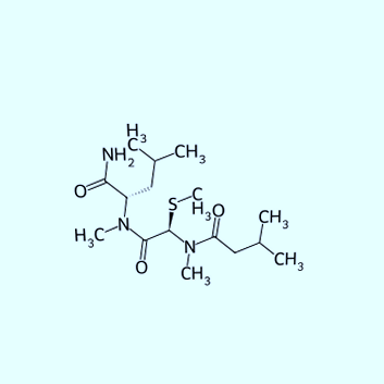 CS[C@H](C(=O)N(C)[C@@H](CC(C)C)C(N)=O)N(C)C(=O)CC(C)C